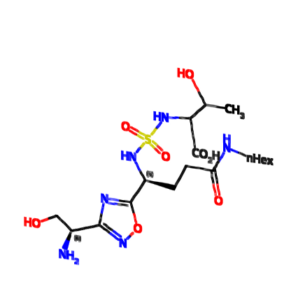 CCCCCCNC(=O)CC[C@H](NS(=O)(=O)NC(C(=O)O)C(C)O)c1nc([C@@H](N)CO)no1